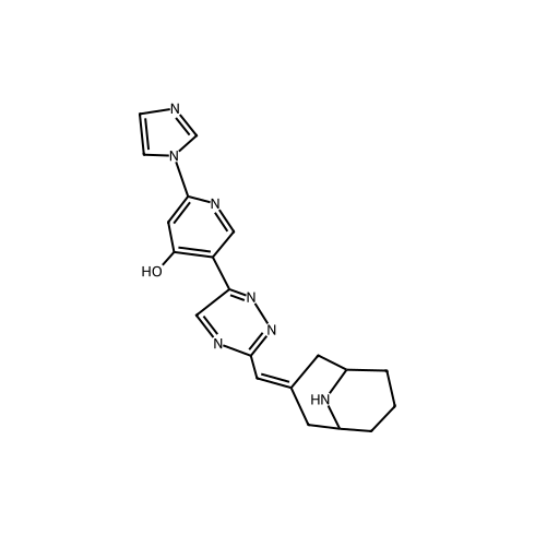 Oc1cc(-n2ccnc2)ncc1-c1cnc(C=C2CC3CCCC(C2)N3)nn1